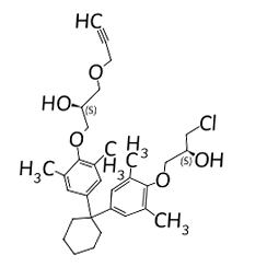 C#CCOC[C@H](O)COc1c(C)cc(C2(c3cc(C)c(OC[C@H](O)CCl)c(C)c3)CCCCC2)cc1C